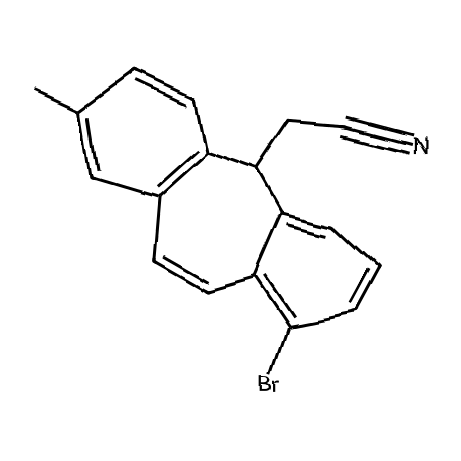 Cc1ccc2c(c1)C=Cc1c(Br)cccc1C2CC#N